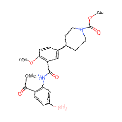 Bc1ccc(C(=O)OC)c(NC(=O)c2cc(C3CCN(C(=O)OC(C)(C)C)CC3)ccc2OCCCC)c1